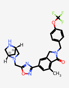 Cc1cc(-c2noc(CN3C[C@@H]4C[C@H]3CN4)n2)cc2c1C(=O)N(Cc1ccc(OC(F)(F)F)cc1)C2